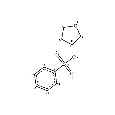 O=S(=O)(O[C@@H]1CCOC1)c1ccccc1